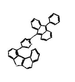 c1ccc(-c2c3ccccc3c(-c3ccc(-c4cccc5sc6ccc7ccccc7c6c45)cn3)c3ccccc23)cc1